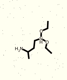 CCO[SiH](CCC(C)N)OCC